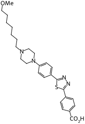 COCCCCCCCN1CCN(c2ccc(-c3nnc(-c4ccc(C(=O)O)cc4)s3)cc2)CC1